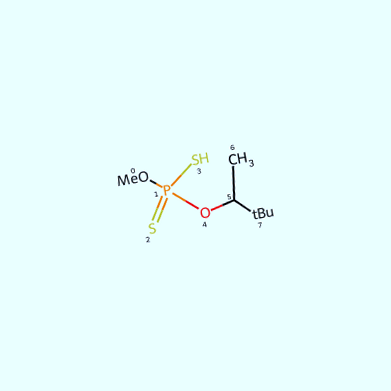 COP(=S)(S)OC(C)C(C)(C)C